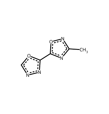 Cc1noc(-c2nnco2)n1